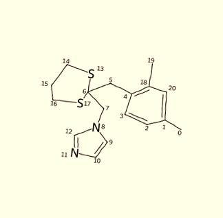 Cc1ccc(CC2(Cn3ccnc3)SCCCS2)c(C)c1